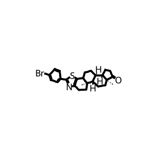 C[C@]12CCc3nc(-c4ccc(Br)cc4)sc3C1CC[C@@H]1[C@@H]2CC[C@]2(C)C(=O)CC[C@@H]12